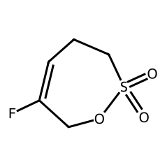 O=S1(=O)CCC=C(F)CO1